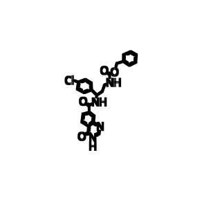 O=C(NCCC(NC(=O)c1ccc2c(=O)[nH]cnc2c1)c1ccc(Cl)cc1)OCc1ccccc1